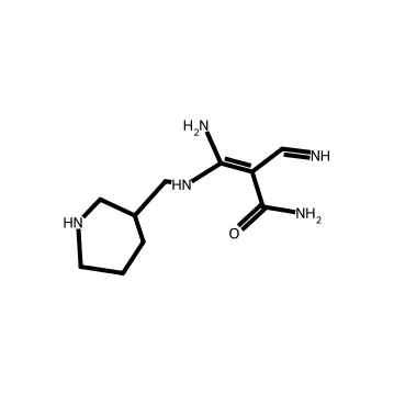 N=C/C(C(N)=O)=C(\N)NCC1CCCNC1